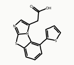 O=C(O)Cc1cnc2sc3cccc(-c4cccs4)c3n12